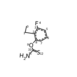 CCc1c(F)cccc1OC(N)=S